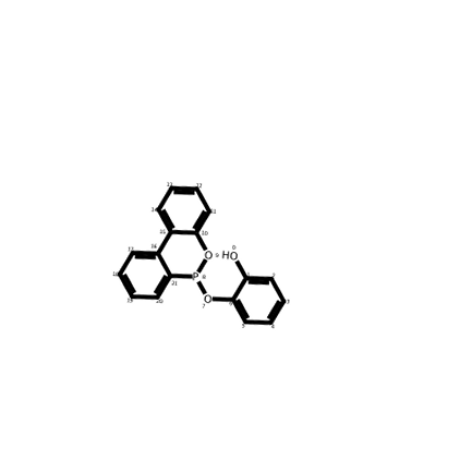 Oc1ccccc1OP1Oc2ccccc2-c2ccccc21